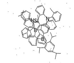 Cc1ccccc1N(c1ccc2c(c1)B(c1c(C(C)C)cc(C(C)C)cc1C(C)C)c1ccccc1B2c1c(C(C)C)cc(C(C)C)cc1C(C)C)c1ccccc1[SiH]1C(c2ccccc2)=C(c2ccccc2)C(c2ccccc2)=C1c1ccccc1